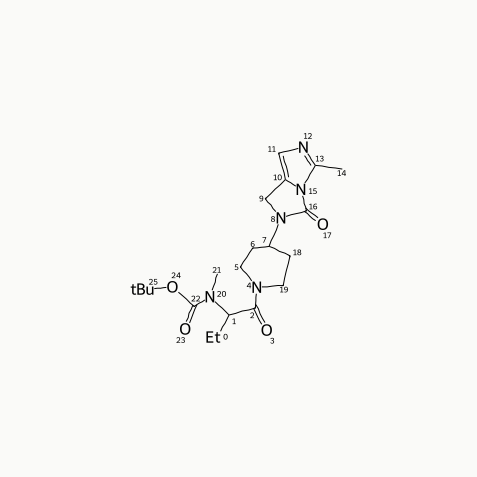 CCC(C(=O)N1CCC(N2Cc3cnc(C)n3C2=O)CC1)N(C)C(=O)OC(C)(C)C